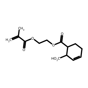 C=C(C)C(=O)OCCOC(=O)C1CCC=CC1C(=O)O